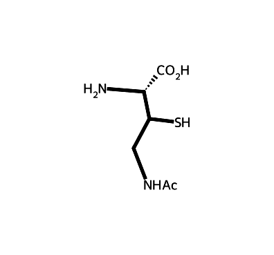 CC(=O)NCC(S)[C@H](N)C(=O)O